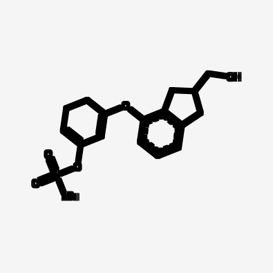 CCCCS(=O)(=O)OC1=CCCC(Oc2cccc3c2CC(CO)C3)=C1